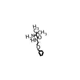 CC(C)C(N)C(=O)N[CH]COCc1ccccc1